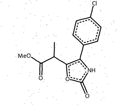 COC(=O)C(C)c1oc(=O)[nH]c1-c1ccc(Cl)cc1